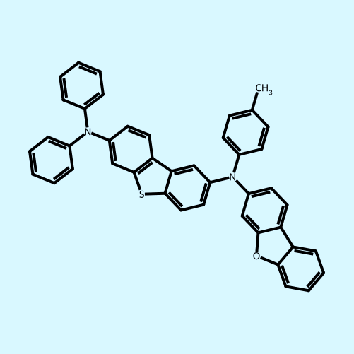 Cc1ccc(N(c2ccc3c(c2)oc2ccccc23)c2ccc3sc4cc(N(c5ccccc5)c5ccccc5)ccc4c3c2)cc1